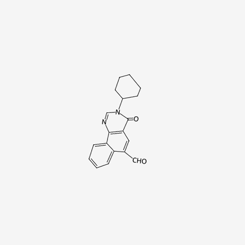 O=Cc1cc2c(=O)n(C3CCCCC3)cnc2c2ccccc12